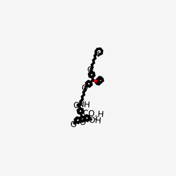 O=C(NCCCCCCOc1ccc(C(=C2C3CC4CC(C3)CC2C4)c2ccc(OCCCCCCN3CCCCCC3)cc2)cc1)c1ccc(-c2c3ccc(=O)cc-3oc3cc(O)ccc23)c(C(=O)O)c1